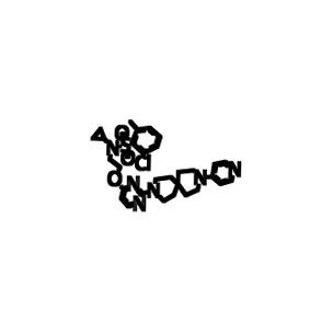 Cc1cccc(Cl)c1S(=O)(=O)N(CCOc1ccnc(N2CCC3(CCN(c4ccncc4)CC3)CC2)n1)C1CC1